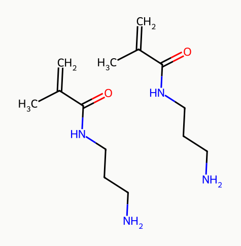 C=C(C)C(=O)NCCCN.C=C(C)C(=O)NCCCN